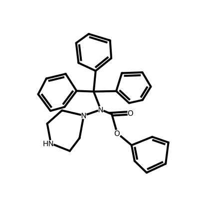 O=C(Oc1ccccc1)N(N1CCNCC1)C(c1ccccc1)(c1ccccc1)c1ccccc1